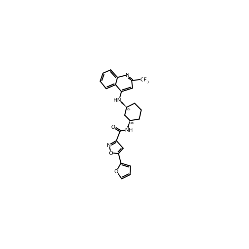 O=C(N[C@@H]1CCC[C@H](Nc2cc(C(F)(F)F)nc3ccccc23)C1)c1cc(-c2ccco2)on1